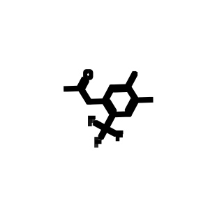 CC(=O)Cc1cc(C)c(C)cc1C(F)(F)F